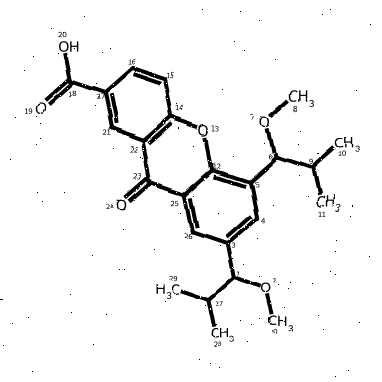 COC(c1cc(C(OC)C(C)C)c2oc3ccc(C(=O)O)cc3c(=O)c2c1)C(C)C